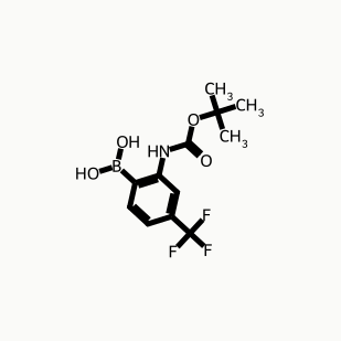 CC(C)(C)OC(=O)Nc1cc(C(F)(F)F)ccc1B(O)O